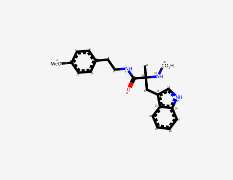 COc1ccc(CCNC(=O)C(C)(Cc2c[nH]c3ccccc23)NC(=O)O)cc1